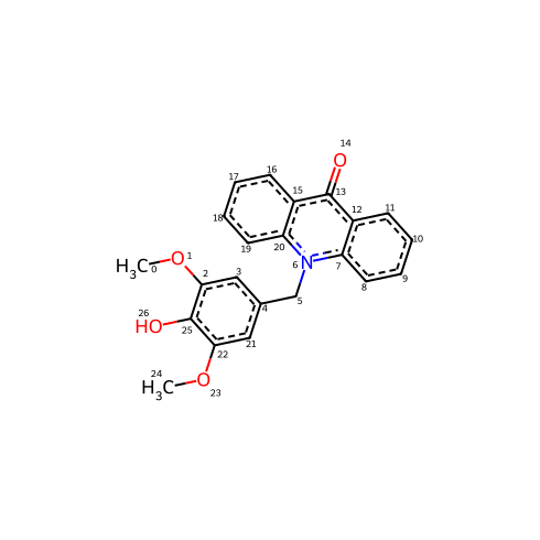 COc1cc(Cn2c3ccccc3c(=O)c3ccccc32)cc(OC)c1O